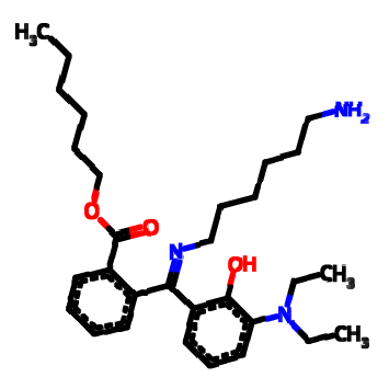 CCCCCCOC(=O)c1ccccc1/C(=N/CCCCCCN)c1cccc(N(CC)CC)c1O